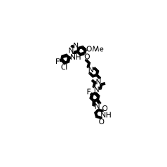 COc1cc2ncnc(Nc3ccc(F)c(Cl)c3)c2cc1OCCCN1CCC(CN2C(C)CN(c3cc4cn(C5CCC(=O)NC5=O)cc4cc3F)CC2C)CC1